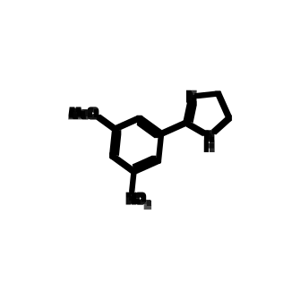 COc1cc(C2=NCCN2)cc([N+](=O)[O-])c1